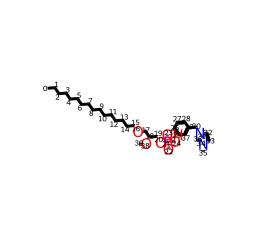 CCCCCCCCCCCCCCCCOCC(COP(=O)(O)Oc1cccc(CN2C=CN(C)C2)c1)OC